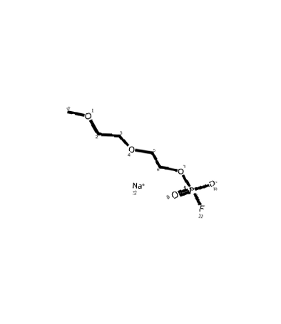 COCCOCCOP(=O)([O-])F.[Na+]